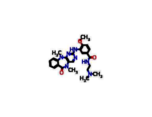 COc1ccc(C(=O)NCCN(C)C)cc1Nc1ncc2c(n1)N(C)c1ccccc1C(=O)N2C